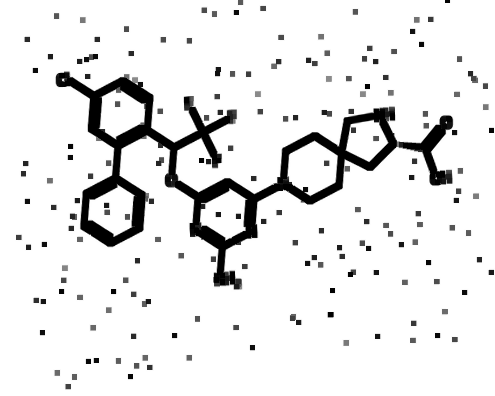 Nc1nc(OC(c2ccc(Cl)cc2-c2ccccc2)C(F)(F)F)cc(N2CCC3(CC2)CN[C@H](C(=O)O)C3)n1